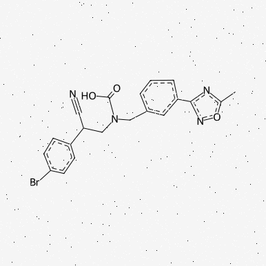 Cc1nc(-c2cccc(CN(CC(C#N)c3ccc(Br)cc3)C(=O)O)c2)no1